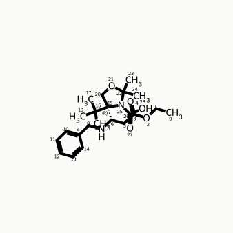 CCOC(=O)CC(NCc1ccccc1)[C@]1(C(C)(C)C)COC(C)(C)N1C(=O)O